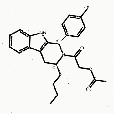 CCCC[C@H]1Cc2c([nH]c3ccccc23)[C@H](c2ccc(F)cc2)N1C(=O)COC(C)=O